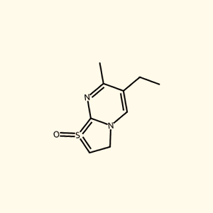 CCC1=CN2CC=S(=O)=C2N=C1C